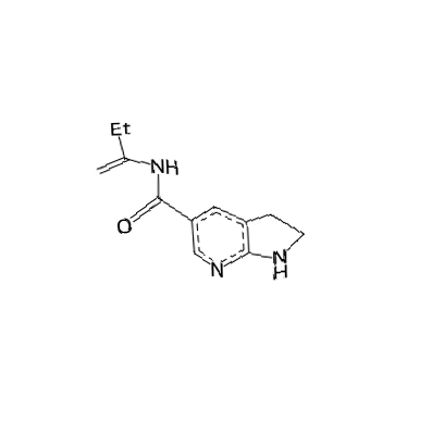 C=C(CC)NC(=O)c1cnc2c(c1)CCN2